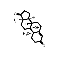 C[C@]12CCC(=O)C=C1CC[C@H]1[C@@H]3CCC(=O)[C@@]3(C)CC[C@]12O